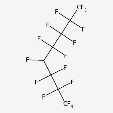 F[C](C(F)(F)C(F)(F)C(F)(F)F)C(F)(F)C(F)(F)C(F)(F)C(F)(F)F